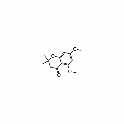 COc1cc(OC)c2c(c1)OC(C)(C)CC2=O